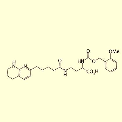 COc1ccccc1COC(=O)NC(CCNC(=O)CCCCc1ccc2c(n1)NCCC2)C(=O)O